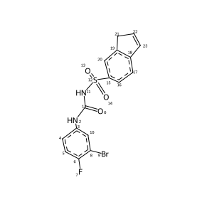 O=C(Nc1ccc(F)c(Br)c1)NS(=O)(=O)c1ccc2c(c1)CC=C2